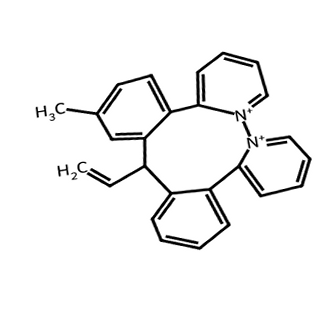 C=CC1c2ccccc2-c2cccc[n+]2-[n+]2ccccc2-c2ccc(C)cc21